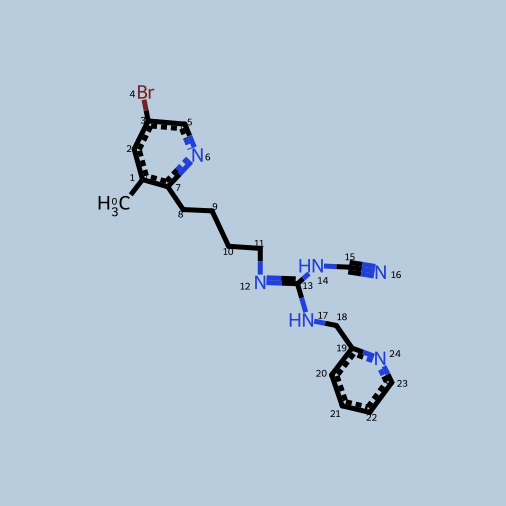 Cc1cc(Br)cnc1CCCCN=C(NC#N)NCc1ccccn1